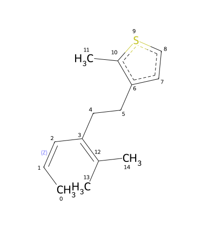 C/C=C\C(CCc1ccsc1C)=C(C)C